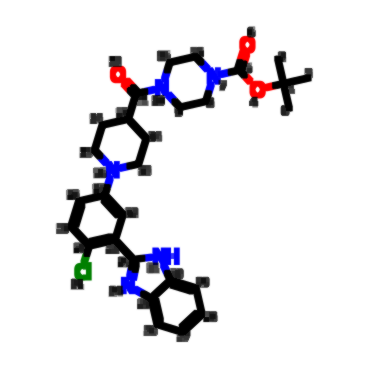 CC(C)(C)OC(=O)N1CCN(C(=O)C2CCN(c3ccc(Cl)c(-c4nc5ccccc5[nH]4)c3)CC2)CC1